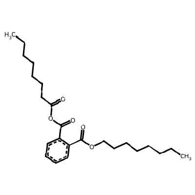 CCCCCCCCOC(=O)c1ccccc1C(=O)OC(=O)CCCCCCC